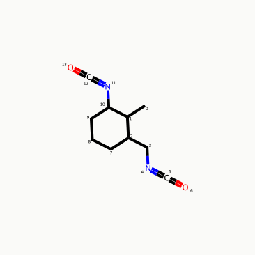 CC1C(CN=C=O)CCCC1N=C=O